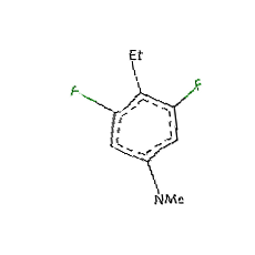 CCc1c(F)cc(NC)cc1F